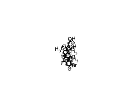 CC1C[C@H]2[C@@H]3CC(F)C4=CC(=O)C(Br)=C[C@]4(C)[C@@]3(Cl)C(Cl)C[C@]2(C)[C@@]1(O)C(=O)C(O)CC(=O)O